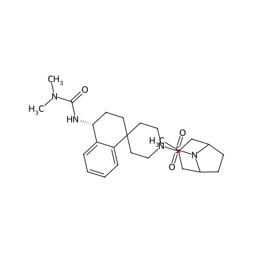 CN(C)C(=O)N[C@@H]1CCC2(CCN(C3CC4CCC(C3)N4S(C)(=O)=O)CC2)c2ccccc21